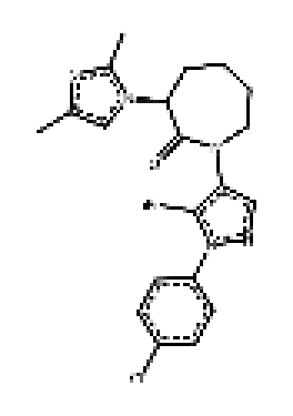 Cc1cn([C@H]2CCCCN(c3cnn(-c4ccc(Cl)cc4)c3C(C)C)C2=O)c(C)n1